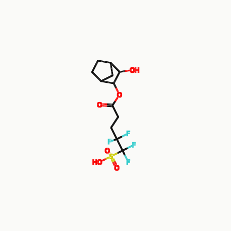 O=C(CCC(F)(F)C(F)(F)S(=O)(=O)O)OC1C2CCC(C2)C1O